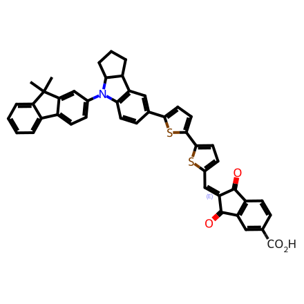 CC1(C)c2ccccc2-c2ccc(N3c4ccc(-c5ccc(-c6ccc(/C=C7\C(=O)c8ccc(C(=O)O)cc8C7=O)s6)s5)cc4C4CCCC43)cc21